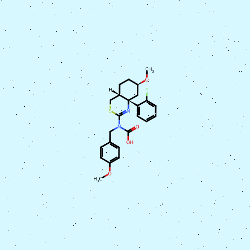 COc1ccc(CN(C(=O)O)C2=N[C@@]3(c4ccccc4F)C[C@H](OC)CC[C@H]3CS2)cc1